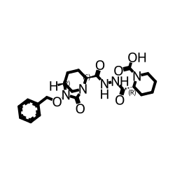 O=C(NNC(=O)[C@@H]1CC[C@@H]2CN1C(=O)N2OCc1ccccc1)[C@H]1CCCCN1C(=O)O